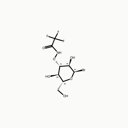 O=C(NO[C@@H]1[C@@H](O)[C@@H](Br)O[C@H](CO)[C@H]1O)C(F)(F)F